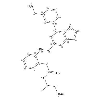 COCC(C)OC(=O)Cc1ccccc1NCc1cc(-c2cccc(CN)c2)c2occc2c1